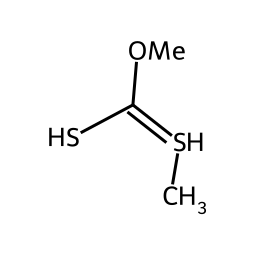 COC(S)=[SH]C